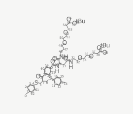 Cc1ccc(SCC(CSc2ccc(C)cc2)C(=O)c2ccc(C(=O)NC(CC(=O)NCCOCCOCCC(=O)OC(C)(C)C)C(=O)NCCCOCCOCCC(=O)OC(C)(C)C)cc2)cc1